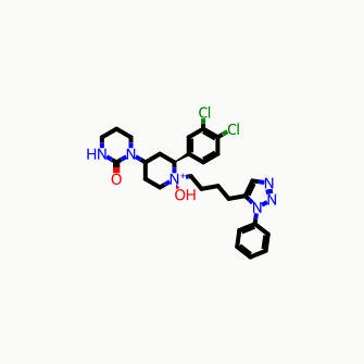 O=C1NCCCN1C1CC[N@@+](O)(CCCCc2cnnn2-c2ccccc2)[C@H](c2ccc(Cl)c(Cl)c2)C1